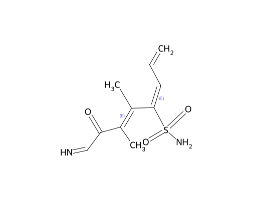 C=C/C=C(\C(C)=C(/C)C(=O)C=N)S(N)(=O)=O